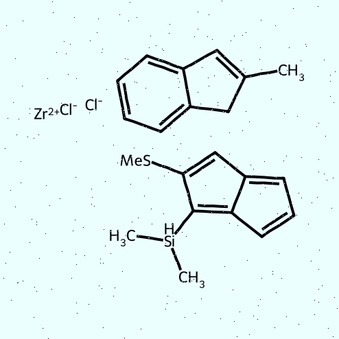 CC1=Cc2ccccc2C1.CSC1=CC2=CC=CC2=C1[SiH](C)C.[Cl-].[Cl-].[Zr+2]